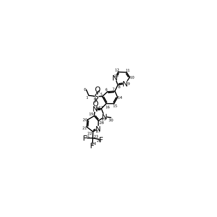 CCS(=O)(=O)c1cc(-c2ncccn2)ccc1-c1nc2ccc(C(F)(F)F)nc2n1C